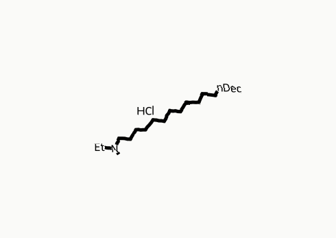 CCCCCCCCCCCCCCCCCCCCCCN(C)CC.Cl